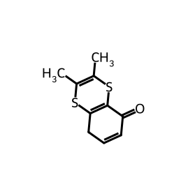 CC1=C(C)SC2=C(CC=CC2=O)S1